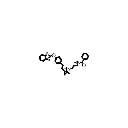 O=C(NCCCNC1(I)CC1CCc1ccc(Oc2nc3ccccc3s2)cc1)c1ccccc1